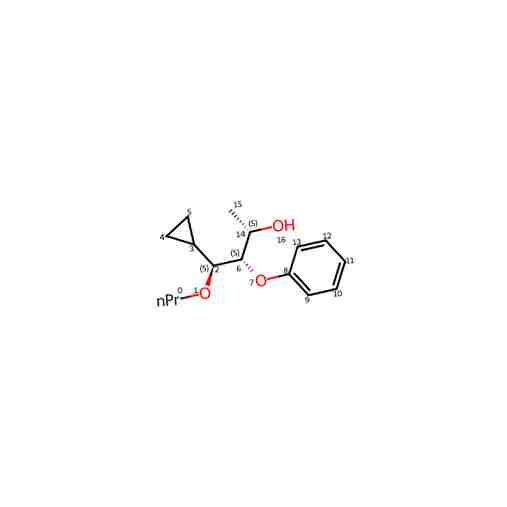 CCCO[C@@H](C1CC1)[C@@H](Oc1ccccc1)[C@H](C)O